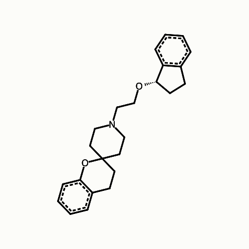 c1ccc2c(c1)CCC1(CCN(CCO[C@H]3CCc4ccccc43)CC1)O2